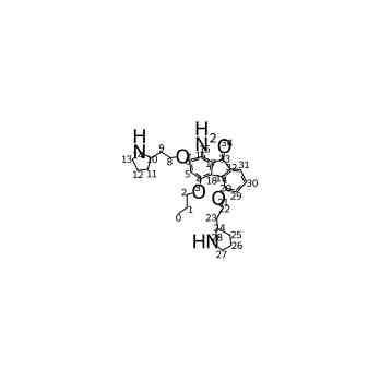 CCCOc1cc(OCCC2CCCN2)c(N)c2c1-c1c(OCCC3CCCN3)cccc1C2=O